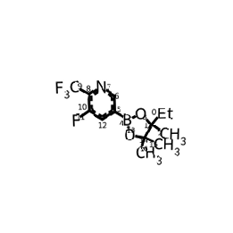 CCC1(C)OB(c2cnc(C(F)(F)F)c(F)c2)OC1(C)C